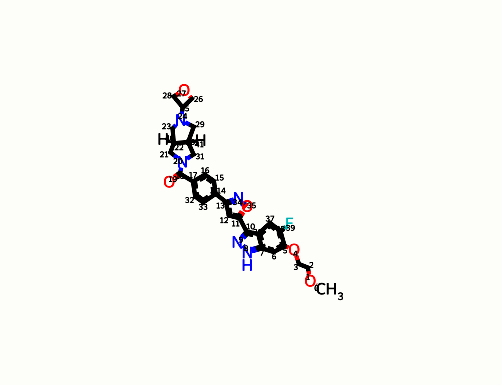 COCCOc1cc2[nH]nc(-c3cc(-c4ccc(C(=O)N5C[C@@H]6CN(C7COC7)C[C@@H]6C5)cc4)no3)c2cc1F